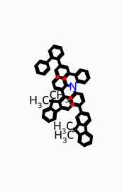 CC1(C)c2ccccc2-c2ccc(-c3ccc(N(c4ccccc4-c4cccc(-c5ccccc5-c5ccccc5)c4)c4ccccc4-c4cccc5c4C(C)(C)c4ccccc4-5)cc3)cc21